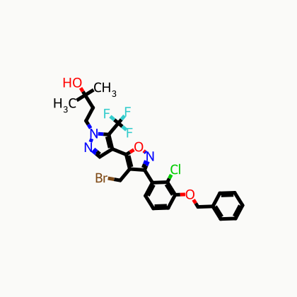 CC(C)(O)CCn1ncc(-c2onc(-c3cccc(OCc4ccccc4)c3Cl)c2CBr)c1C(F)(F)F